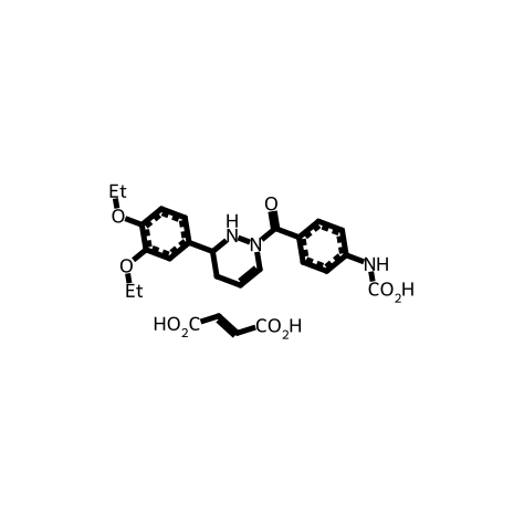 CCOc1ccc(C2CC=CN(C(=O)c3ccc(NC(=O)O)cc3)N2)cc1OCC.O=C(O)C=CC(=O)O